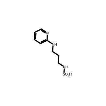 O=S(=O)(O)NCCCNc1ccccn1